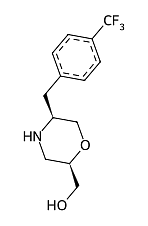 OC[C@H]1CN[C@@H](Cc2ccc(C(F)(F)F)cc2)CO1